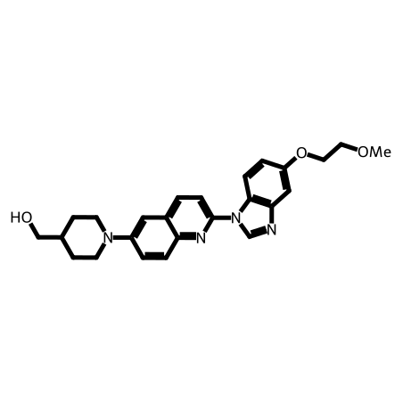 COCCOc1ccc2c(c1)ncn2-c1ccc2cc(N3CCC(CO)CC3)ccc2n1